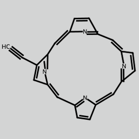 C#CC1=CC2=CC3=NC(=CC4=NC(=CC5=NC(=CC1=N2)C=C5)C=C4)C=C3